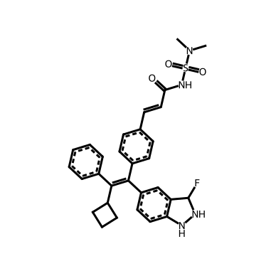 CN(C)S(=O)(=O)NC(=O)/C=C/c1ccc(/C(=C(\c2ccccc2)C2CCC2)c2ccc3c(c2)C(F)NN3)cc1